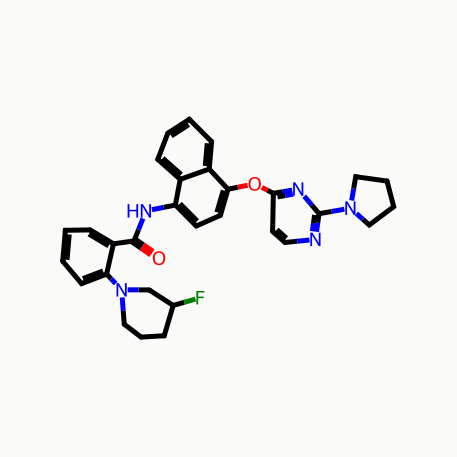 O=C(Nc1ccc(Oc2ccnc(N3CCCC3)n2)c2ccccc12)c1ccccc1N1CCCC(F)C1